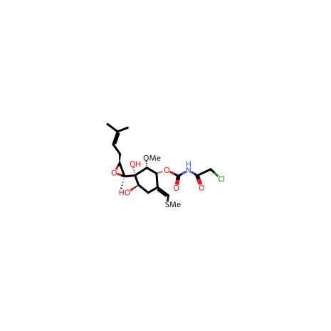 CO[C@@H]1[C@H](OC(=O)NC(=O)CCl)C(=CSC)C[C@@H](O)[C@@]1(O)[C@@]1(C)O[C@H]1CC=C(C)C